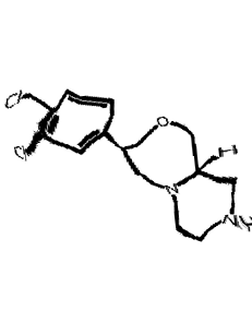 Clc1ccc([C@@H]2CN3CCNC[C@H]3CO2)cc1Cl